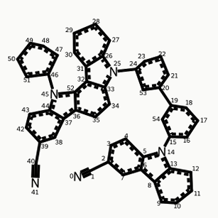 N#Cc1ccc2c(c1)c1ccccc1n2-c1cccc(-c2cccc(-n3c4ccccc4c4c3ccc3c5cc(C#N)ccc5n(-c5ccccc5)c34)c2)c1